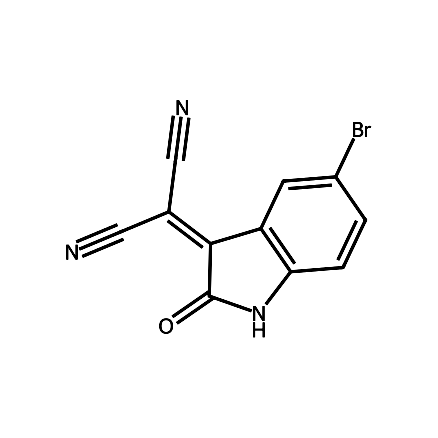 N#CC(C#N)=C1C(=O)Nc2ccc(Br)cc21